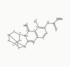 CNC(=O)Oc1ccc2nc3n(c(=N)c2c1Cl)C1CC2CC(CC3C2)C1